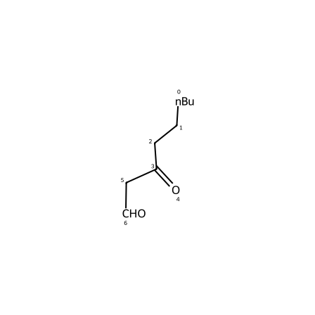 CCCCCCC(=O)CC=O